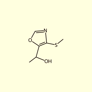 CSc1ncoc1C(C)O